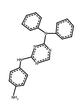 Nc1ccc(Nc2ncnc(N(c3ccccc3)c3ccccc3)n2)cc1